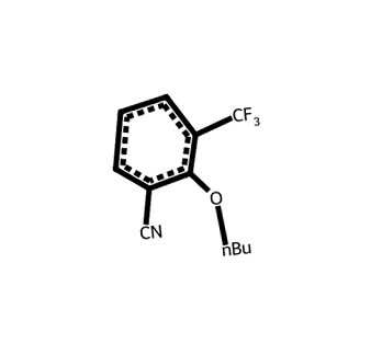 CCCCOc1c(C#N)cccc1C(F)(F)F